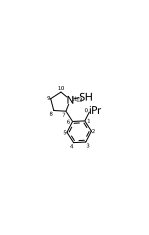 CC(C)c1ccccc1C1CCCN1S